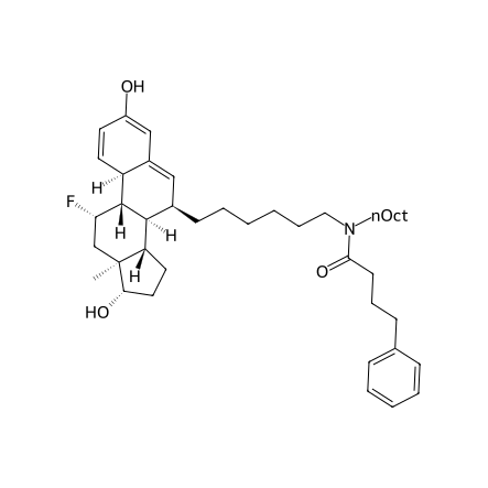 CCCCCCCCN(CCCCCC[C@@H]1C=C2C=C(O)C=C[C@@H]2[C@@H]2[C@@H]1[C@@H]1CC[C@H](O)[C@@]1(C)C[C@@H]2F)C(=O)CCCc1ccccc1